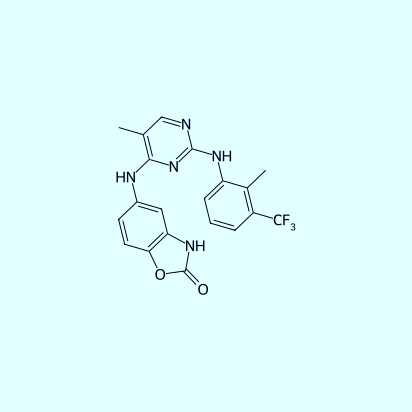 Cc1cnc(Nc2cccc(C(F)(F)F)c2C)nc1Nc1ccc2oc(=O)[nH]c2c1